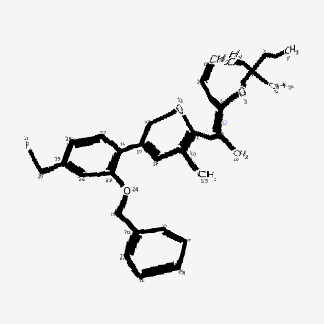 C=C/C(OC(C)(C)CC)=C(/C)C1=C(C)C=C(c2ccc(CF)cc2OCc2ccccc2)CO1